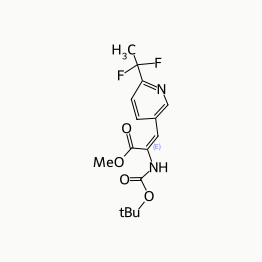 COC(=O)/C(=C\c1ccc(C(C)(F)F)nc1)NC(=O)OC(C)(C)C